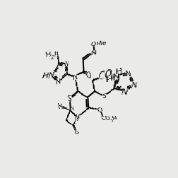 CON=CC(=O)N(c1n[nH]c(N)n1)C1S[C@H]2CC(=O)N2C(OC(=O)O)=C1C(CC(=O)O)Sc1nnn[nH]1